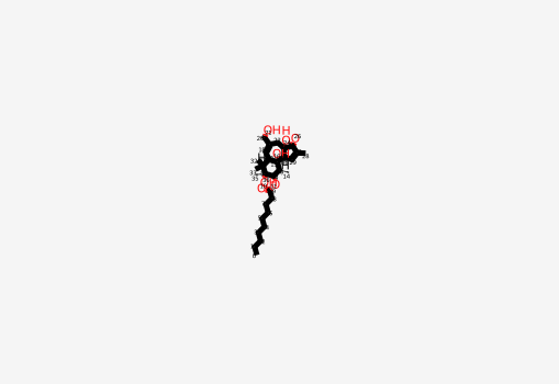 CCCCCCCCCC(=O)O[C@@H]1[C@@H](C)[C@@]2(O)[C@@H](C=C(CO)C[C@]3(O)C(=O)C(C)=C[C@@H]23)C(C)(C)[C@]1(C)O